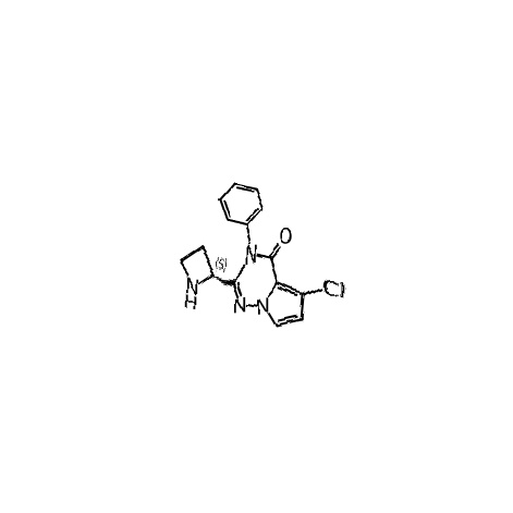 O=c1c2c(Cl)ccn2nc([C@@H]2CCN2)n1-c1ccccc1